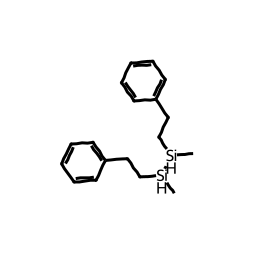 C[SiH](CCc1ccccc1)[SiH](C)CCc1ccccc1